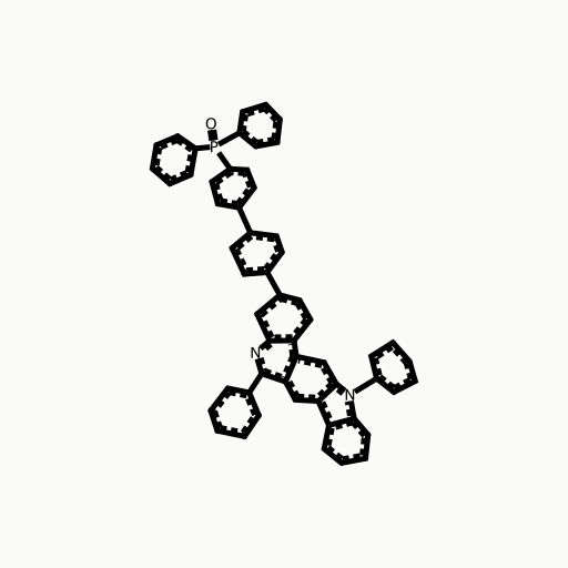 O=P(c1ccccc1)(c1ccccc1)c1ccc(-c2ccc(-c3ccc4c(c3)nc(-c3ccccc3)c3cc5c6ccccc6n(-c6ccccc6)c5cc34)cc2)cc1